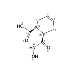 O=C(O)[C@H]1CC=CC[C@H]1C(=O)NO